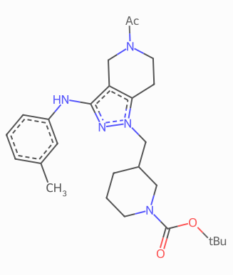 CC(=O)N1CCc2c(c(Nc3cccc(C)c3)nn2CC2CCCN(C(=O)OC(C)(C)C)C2)C1